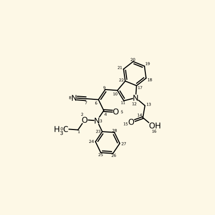 CCON(C(=O)C(C#N)=Cc1cn(CC(=O)O)c2ccccc12)c1ccccc1